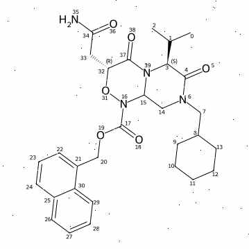 CC(C)[C@H]1C(=O)N(CC2CCCCC2)CC2N(C(=O)OCc3cccc4ccccc34)O[C@H](CC(N)=O)C(=O)N21